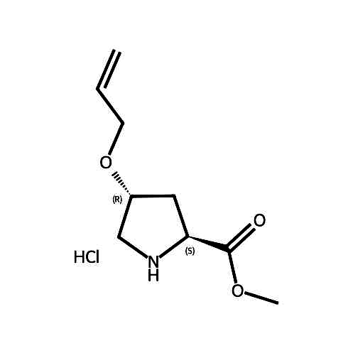 C=CCO[C@H]1CN[C@H](C(=O)OC)C1.Cl